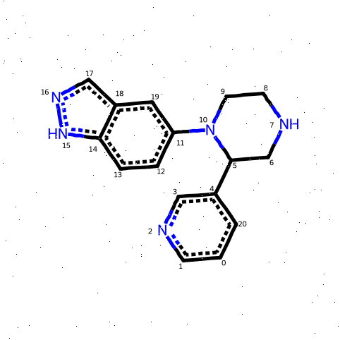 c1cncc(C2CNCCN2c2ccc3[nH]ncc3c2)c1